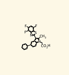 Cc1c(-c2nc3c(F)c(F)cc(F)c3s2)c2cc(-c3ccccc3)ccc2n1CC(=O)O